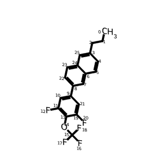 CCCc1ccc2cc(-c3cc(F)c(OC(F)(F)F)c(F)c3)ccc2c1